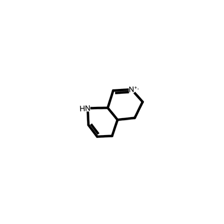 C1=CNC2C=[N+]CCC2C1